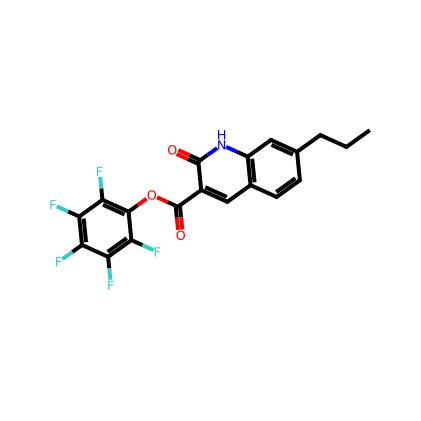 CCCc1ccc2cc(C(=O)Oc3c(F)c(F)c(F)c(F)c3F)c(=O)[nH]c2c1